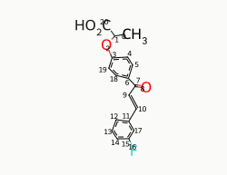 CC(Oc1ccc(C(=O)/C=C/c2cccc(F)c2)cc1)C(=O)O